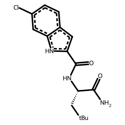 CC(C)(C)C[C@H](NC(=O)c1cc2ccc(Cl)cc2[nH]1)C(N)=O